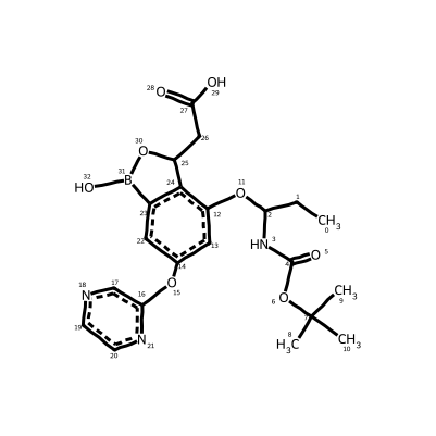 CCC(NC(=O)OC(C)(C)C)Oc1cc(Oc2cnccn2)cc2c1C(CC(=O)O)OB2O